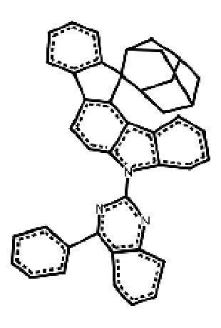 c1ccc(-c2nc(-n3c4ccccc4c4c5c(ccc43)-c3ccccc3C53C4CC5CC(C4)CC3C5)nc3ccccc23)cc1